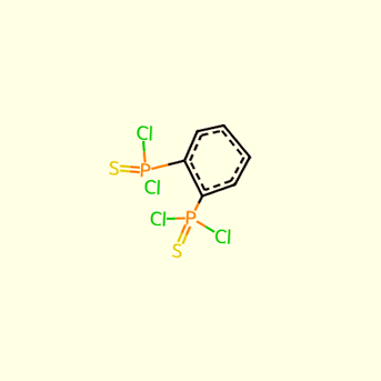 S=P(Cl)(Cl)c1ccccc1P(=S)(Cl)Cl